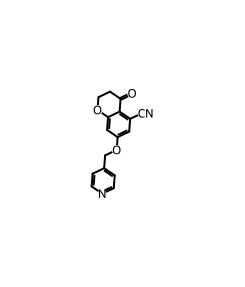 N#Cc1cc(OCc2ccncc2)cc2c1C(=O)CCO2